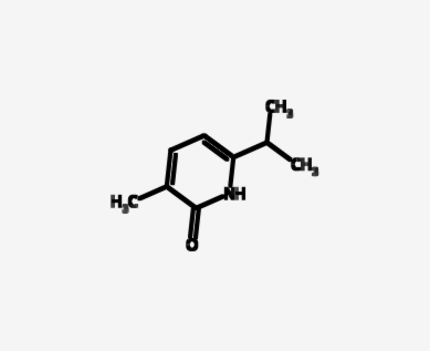 Cc1ccc(C(C)C)[nH]c1=O